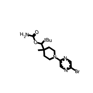 CC(C)(C)C(OC(N)=O)C1(C)CCN(c2cnc(Br)cn2)CC1